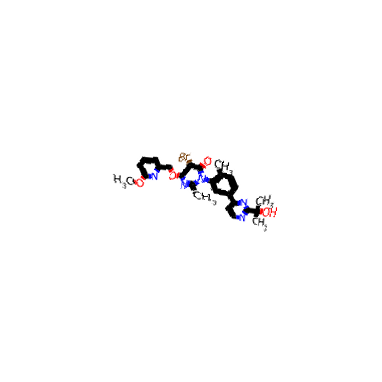 COc1cccc(COc2nc(C)n(-c3cc(-c4ccnc(C(C)(C)O)n4)ccc3C)c(=O)c2Br)n1